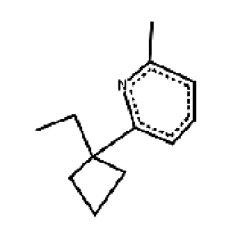 CCC1(c2cccc(C)n2)CCC1